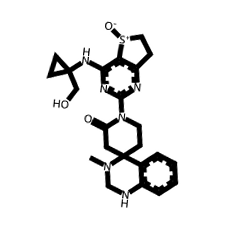 CN1CNc2ccccc2C12CCN(c1nc3c(c(NC4(CO)CC4)n1)[S+]([O-])CC3)C(=O)C2